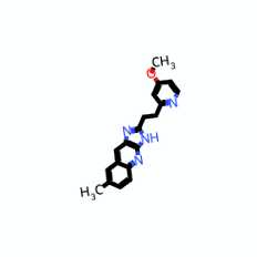 COc1ccnc(CCc2nc3cc4cc(C)ccc4nc3[nH]2)c1